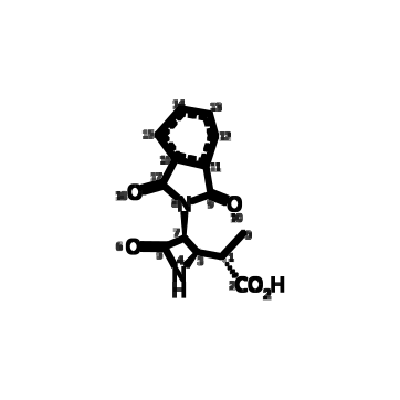 C[C@H](C(=O)O)[C@H]1NC(=O)[C@H]1N1C(=O)c2ccccc2C1=O